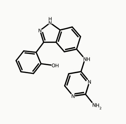 Nc1nccc(Nc2ccc3[nH]nc(-c4ccccc4O)c3c2)n1